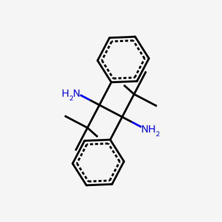 CC(C)(C)C(N)(c1ccccc1)C(N)(c1ccccc1)C(C)(C)C